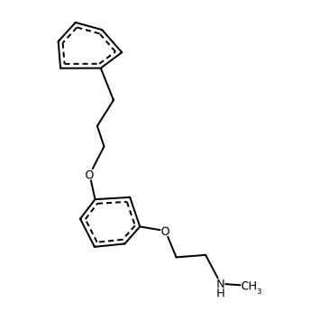 CNCCOc1cccc(OCCCc2ccccc2)c1